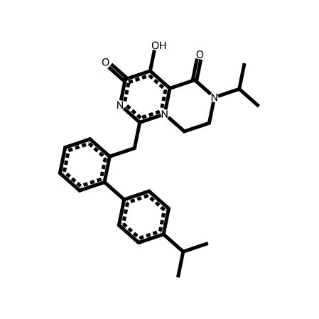 CC(C)c1ccc(-c2ccccc2Cc2nc(=O)c(O)c3n2CCN(C(C)C)C3=O)cc1